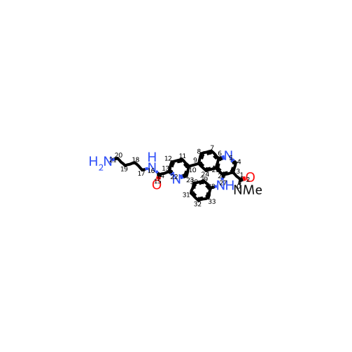 CNC(=O)c1cnc2ccc(-c3ccc(C(=O)NCCCCN)nc3)cc2c1Nc1ccccc1